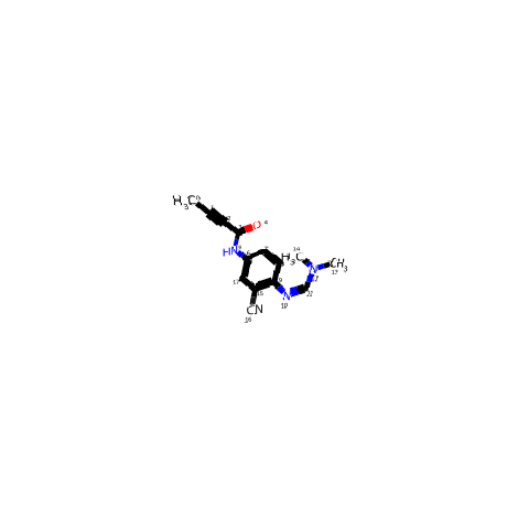 CC#CC(=O)Nc1ccc(/N=C\N(C)C)c(C#N)c1